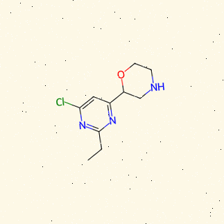 CCc1nc(Cl)cc(C2CNCCO2)n1